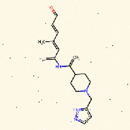 C=C(/C=C(C)/C=C/C=O)NC(=C)C1CCN(Cc2ccn[nH]2)CC1